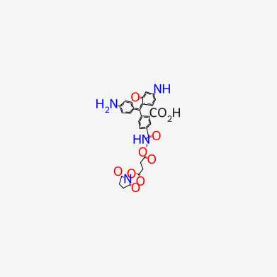 N=c1ccc2c(-c3ccc(C(=O)NCOC(=O)CCC(=O)ON4C(=O)CCC4=O)cc3C(=O)O)c3ccc(N)cc3oc-2c1